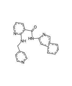 O=C(Nc1cc2ccccc2cn1)c1cccnc1NCc1ccncc1